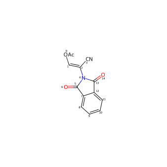 CC(=O)OC=C(C#N)N1C(=O)c2ccccc2C1=O